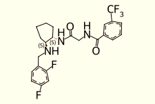 O=C(CNC(=O)c1cccc(C(F)(F)F)c1)N[C@H]1CCCC[C@@H]1NCc1ccc(F)cc1F